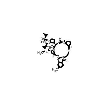 C=C[C@@H]1C[C@]1(NC(=O)[C@@H]1C[C@@H]2CN1C(=O)[C@H](C1CCCC1)NC(=O)O[C@@H]1CCC[C@H]1CCCCCn1c(nc3cc(C)ccc3c1=O)O2)C(=O)NS(=O)(=O)C1CC1